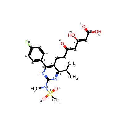 CC(C)c1nc(N(C)S(C)(=O)=O)nc(-c2ccc(F)cc2)c1CCC(=O)CC(O)=CC(=O)O